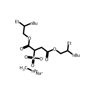 CCCC.CCCCC(CC)COC(=O)CC(C(=O)OCC(CC)CCCC)S(=O)(=O)[O-].[Na+]